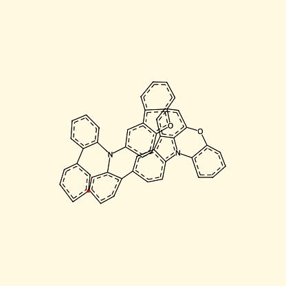 c1ccc(-c2ccccc2N(c2ccc3oc4ccccc4c3c2)c2ccccc2-c2ccc3c(c2)c2cccc4c2n3-c2ccccc2O4)cc1